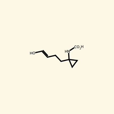 O=C(O)NC1(CCC=CO)CC1